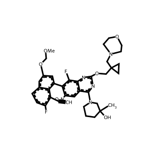 C#Cc1c(F)ccc2cc(OCOC)cc(-c3c([N+](=O)[O-])cc4c(N5CCCC(C)(O)C5)nc(OCC5(CN6CCOCC6)CC5)nc4c3F)c12